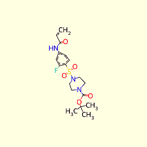 C=CC(=O)Nc1ccc(S(=O)(=O)N2CCN(C(=O)OC(C)(C)C)CC2)c(F)c1